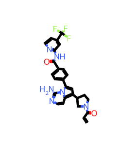 C=CC(=O)N1CCC(c2cc(-c3ccc(C(=O)Nc4cc(C(F)(F)F)ccn4)cc3)n3c(N)nccc23)C1